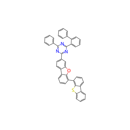 c1ccc(-c2nc(-c3ccc4c(c3)oc3c(-c5cccc6c5sc5ccccc56)cccc34)nc(-c3ccccc3-c3ccccc3)n2)cc1